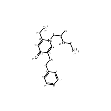 CC(Cn1cc(OCc2ccccc2)c(=O)cc1CO)OCN